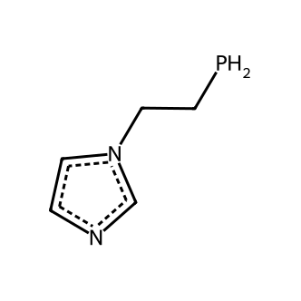 PCCn1ccnc1